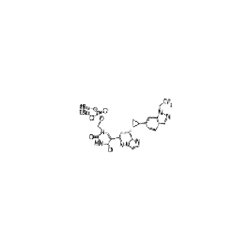 CC(C)(C)OP(=O)(OCn1cc(-c2cc([C@@H]3C[C@H]3c3ccc4cnn(CC(F)(F)F)c4c3)c3nccn3n2)c(=O)[nH]c1=O)OC(C)(C)C